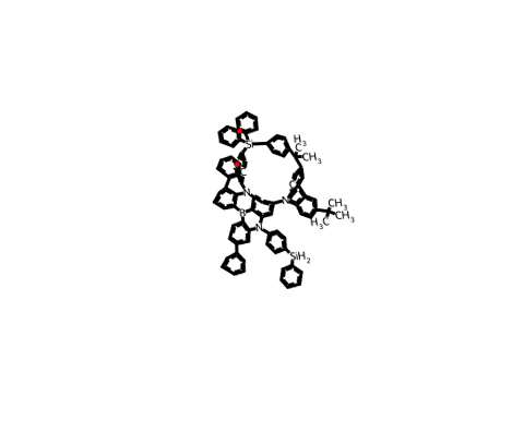 CC(C)(C)c1ccc2c(c1)c1cc3ccc1n2-c1cc2c4c(c1)N(c1ccc(cc1)[Si](c1ccccc1)(c1ccccc1)c1ccc(cc1)C3(C)C)c1c(cccc1-c1ccccc1)B4c1ccc(-c3ccccc3)cc1N2c1ccc([SiH2]c2ccccc2)cc1